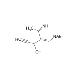 C#CC(O)/C(=C/NC)C(C)=N